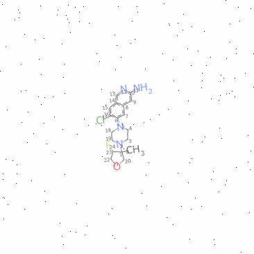 CC1(N2CCN(c3cc4cc(N)ncc4cc3Cl)CC2)COCC1F